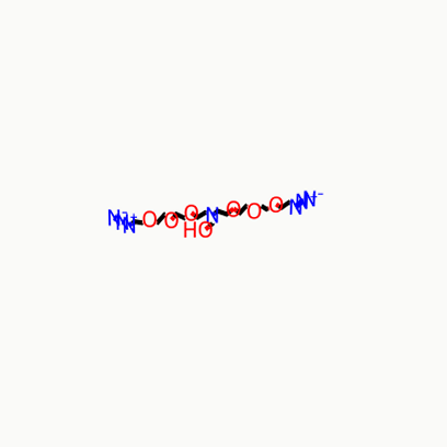 [N-]=[N+]=NCCOCCOCCOCCN(CO)CCOCCOCCOCCN=[N+]=[N-]